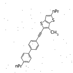 CCCc1ccc(-c2ccc(C#Cc3sc4cc(CCC)sc4c3C)cc2)cc1